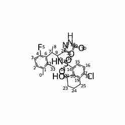 Cc1ccc(F)c(C(C)C(NS(=O)(=O)c2ccc(Cl)c3c2C(O)CCC3)c2n[nH]c(=O)o2)c1C